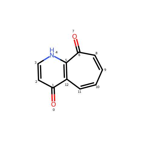 O=c1cc[nH]c2c(=O)ccccc12